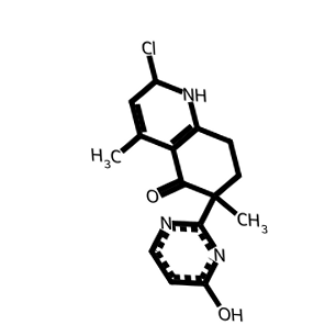 CC1=CC(Cl)NC2=C1C(=O)C(C)(c1nccc(O)n1)CC2